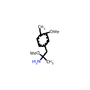 COc1cc(CC(C)(N)OC)ccc1C